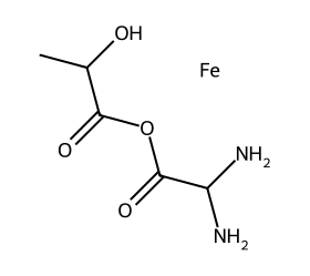 CC(O)C(=O)OC(=O)C(N)N.[Fe]